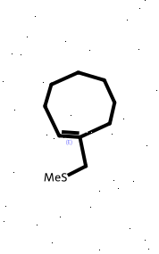 [CH2]SC/C1=C/CCCCCC1